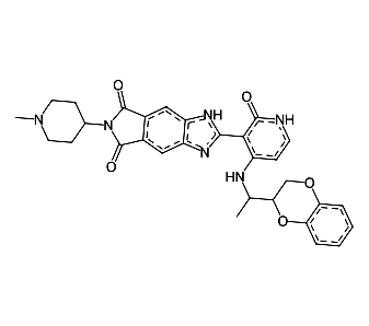 CC(Nc1cc[nH]c(=O)c1-c1nc2cc3c(cc2[nH]1)C(=O)N(C1CCN(C)CC1)C3=O)C1COc2ccccc2O1